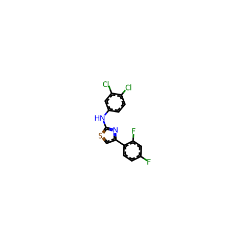 Fc1ccc(-c2csc(Nc3ccc(Cl)c(Cl)c3)n2)c(F)c1